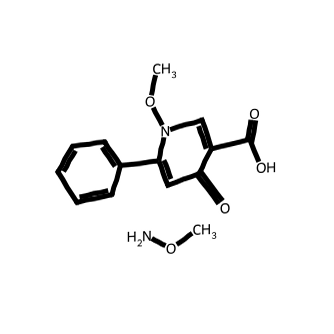 CON.COn1cc(C(=O)O)c(=O)cc1-c1ccccc1